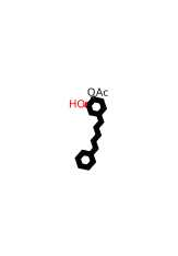 CC(=O)OC1CCC(CCCCCC2CCCCC2)CC1O